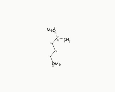 COCCC[C@@H](C)OC